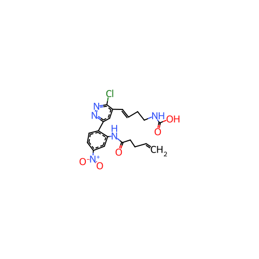 C=CCCC(=O)Nc1cc([N+](=O)[O-])ccc1-c1cc(C=CCCNC(=O)O)c(Cl)nn1